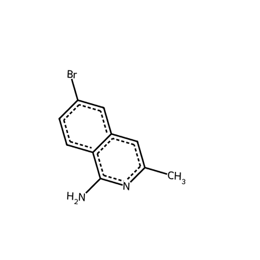 Cc1cc2cc(Br)ccc2c(N)n1